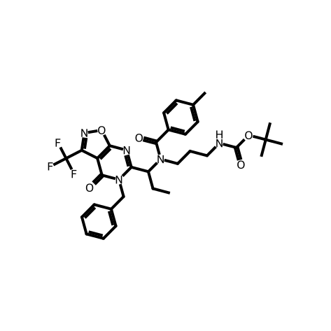 CCC(c1nc2onc(C(F)(F)F)c2c(=O)n1Cc1ccccc1)N(CCCNC(=O)OC(C)(C)C)C(=O)c1ccc(C)cc1